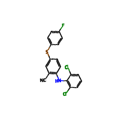 N#Cc1cc(Sc2ccc(F)cc2)ccc1Nc1c(Cl)cccc1Cl